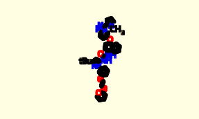 CN1CCCC1c1nnc2ccc(OC3CCC(NC(=O)Nc4cc(C(C)(C)C)nn4-c4cccc(OCCOC5CCCCO5)c4)c4ccccc43)cn12